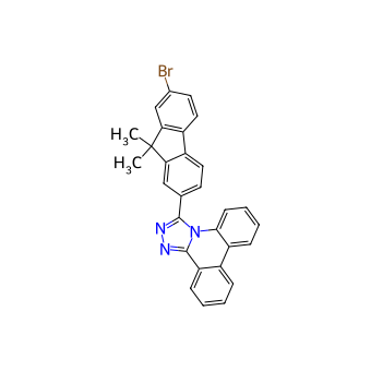 CC1(C)c2cc(Br)ccc2-c2ccc(-c3nnc4c5ccccc5c5ccccc5n34)cc21